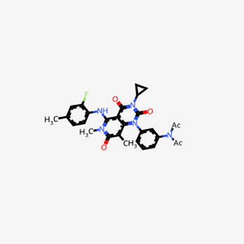 CC(=O)N(C(C)=O)c1cccc(-n2c(=O)n(C3CC3)c(=O)c3c(Nc4ccc(C)cc4F)n(C)c(=O)c(C)c32)c1